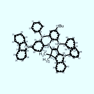 CC(C)(C)c1cc2c3c(c1)N(c1ccccc1)c1cc(-n4c5ccccc5c5ccccc54)ccc1B3C1=C(c3c(c4ccccc4n3-c3ccccc3)C1(C)C)N2c1ccccc1